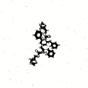 O=C(N[C@@H](Cc1ccccc1)CN(CCc1ccccc1)C[C@H](Cc1ccccc1)NC(=O)OCc1cncs1)OCc1cncs1